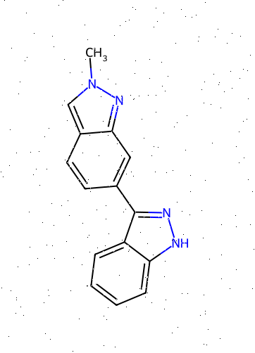 Cn1cc2ccc(-c3n[nH]c4cc[c]cc34)cc2n1